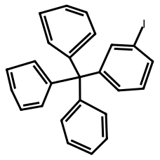 Ic1cccc(C(c2ccccc2)(c2ccccc2)c2ccccc2)c1